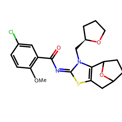 COc1ccc(Cl)cc1C(=O)N=c1sc2c(n1C[C@H]1CCCO1)C1CCC(C2)O1